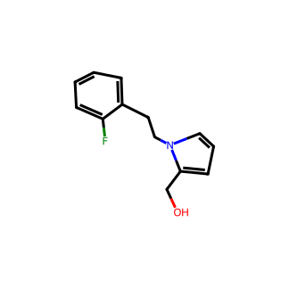 OCc1cccn1CCc1ccccc1F